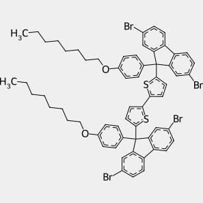 CCCCCCCCOc1ccc(C2(c3ccc(-c4ccc(C5(c6ccc(OCCCCCCCC)cc6)c6cc(Br)ccc6-c6ccc(Br)cc65)s4)s3)c3cc(Br)ccc3-c3ccc(Br)cc32)cc1